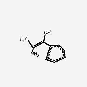 C/C(N)=C(\O)c1ccccc1